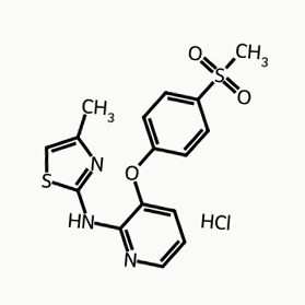 Cc1csc(Nc2ncccc2Oc2ccc(S(C)(=O)=O)cc2)n1.Cl